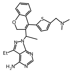 CCc1nn(C(C)C2=C(c3ccc(CN(C)C)s3)c3ccccc3OC2)c2ncnc(N)c12